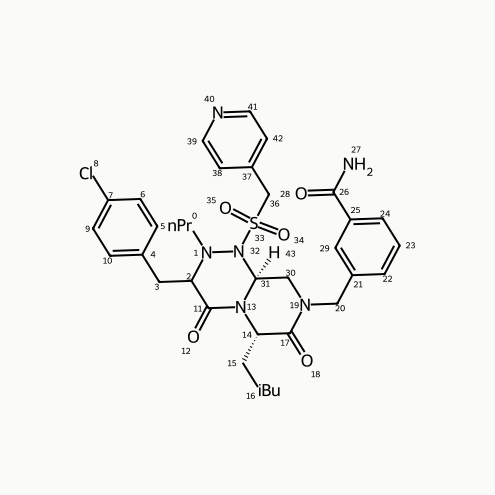 CCCN1C(Cc2ccc(Cl)cc2)C(=O)N2[C@@H](CC(C)CC)C(=O)N(Cc3cccc(C(N)=O)c3)C[C@@H]2N1S(=O)(=O)Cc1ccncc1